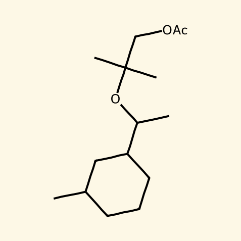 CC(=O)OCC(C)(C)OC(C)C1CCCC(C)C1